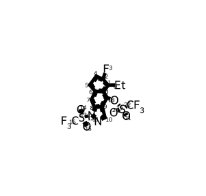 CCc1c(F)ccc2cc3c(cnn3S(=O)(=O)C(F)(F)F)c(OS(=O)(=O)C(F)(F)F)c12